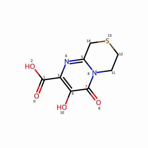 O=C(O)c1nc2n(c(=O)c1O)CCSC2